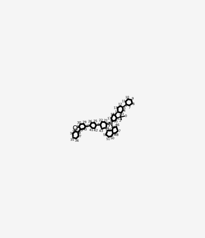 CC1(C)c2cc(-c3ccccc3)ccc2-c2ccc(N(c3ccc(-c4ccc(-c5ccc6oc7ccccc7c6c5)cc4)cc3)c3cccc4ccccc34)cc21